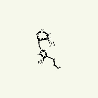 CC(C)CCc1nn(Cc2cncn2C)cc1N